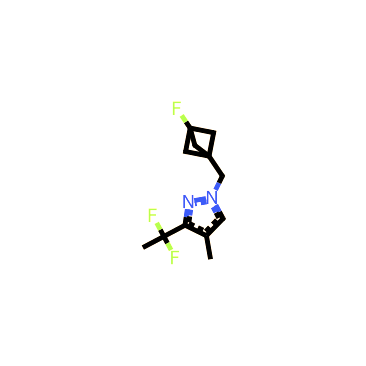 Cc1cn(CC23CC(F)(C2)C3)nc1C(C)(F)F